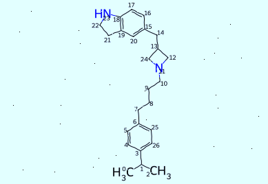 CC(C)c1ccc(CCCCN2CC(Cc3ccc4c(c3)CCN4)C2)cc1